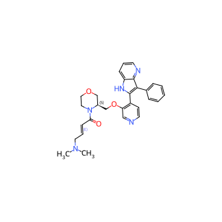 CN(C)C/C=C/C(=O)N1CCOC[C@H]1COc1cnccc1-c1[nH]c2cccnc2c1-c1ccccc1